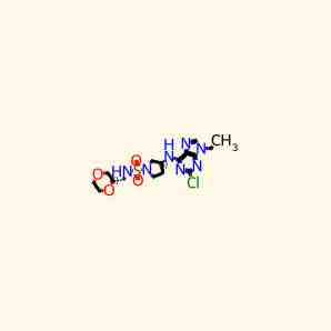 CCn1cnc2c(N[C@H]3CCN(S(=O)(=O)NC[C@H]4COCCO4)C3)nc(Cl)nc21